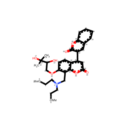 COCCN(CCOC)Cc1c(OCC(O)C(C)(C)O)ccc2c(-c3cc4ccccc4oc3=O)cc(=O)oc12